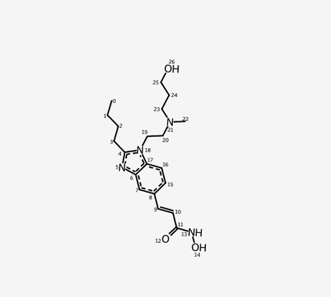 CCCCc1nc2cc(/C=C/C(=O)NO)ccc2n1CCN(C)CCCO